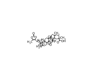 Cc1oc(=O)oc1COC(=O)[C@@]1(C)[C@@H]2CC[C@]3(C)[C@H](C(=O)C=C4[C@@H]5C[C@@](C)(C(=O)O)CC[C@]5(C)CC[C@]43C)[C@@]2(C)CC[C@@H]1N